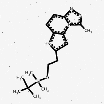 Cc1nnc2ccc3[nH]c(CCO[Si](C)(C)C(C)(C)C)cc3n12